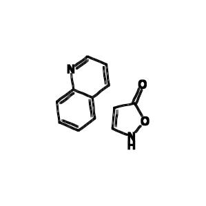 O=c1cc[nH]o1.c1ccc2ncccc2c1